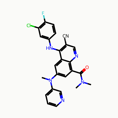 CN(C)C(=O)c1cc(N(C)c2cccnc2)cc2c(Nc3ccc(F)c(Cl)c3)c(C#N)cnc12